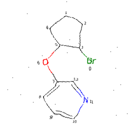 BrC1CCCC1Oc1cccnc1